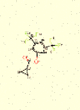 O=C(Oc1cc(C(F)(F)F)cc(C(F)(F)F)c1)C1CC1